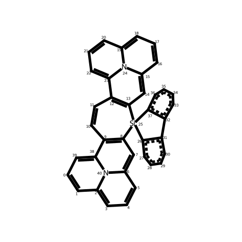 C1=CC2=CC=CC3=CC4=C(C=CC5=C(C=C6C=CC=C7C=CC=C5N76)[Si]45c4ccccc4-c4ccccc45)C(=C1)N23